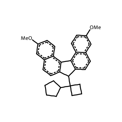 COc1ccc2c3c(ccc2c1)C(C1(C2CCCC2)CCC1)c1ccc2cc(OC)ccc2c1-3